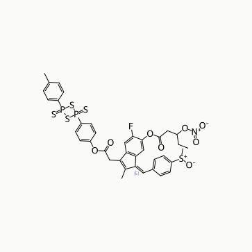 CCC(CC(=O)Oc1cc2c(cc1F)C(CC(=O)Oc1ccc(P3(=S)SP(=S)(c4ccc(C)cc4)S3)cc1)=C(C)/C2=C/c1ccc([S+](C)[O-])cc1)O[N+](=O)[O-]